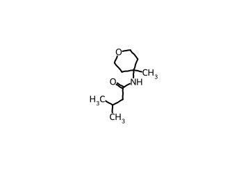 CC(C)CC(=O)NC1(C)CCOCC1